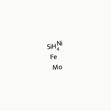 [Fe].[Mo].[Ni].[SiH4]